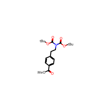 COC(=O)c1ccc(CCN(C(=O)OC(C)(C)C)C(=O)OC(C)(C)C)cc1